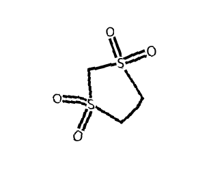 O=S1(=O)CCS(=O)(=O)C1